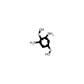 Nc1cc(SO)cc(N)c1SO